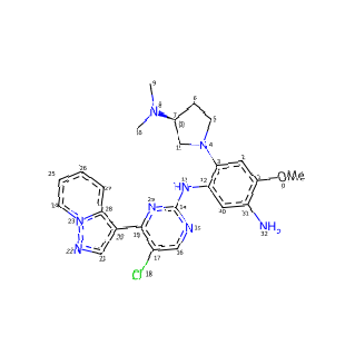 COc1cc(N2CC[C@H](N(C)C)C2)c(Nc2ncc(Cl)c(-c3cnn4ccccc34)n2)cc1N